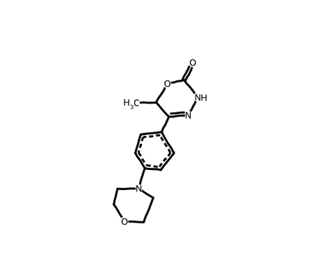 CC1OC(=O)NN=C1c1ccc(N2CCOCC2)cc1